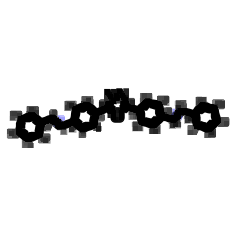 C(=C\c1ccc(-c2nnc(-c3ccc(/C=C/c4ccccc4)cc3)o2)cc1)/c1ccccc1